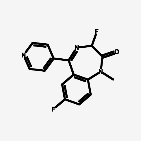 CN1C(=O)C(F)N=C(c2ccncc2)c2cc(F)ccc21